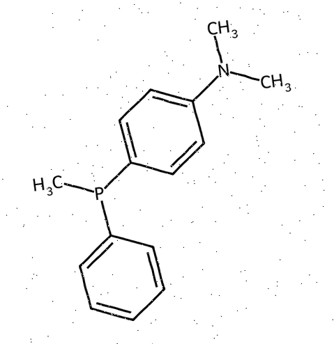 CN(C)c1ccc(P(C)c2ccccc2)cc1